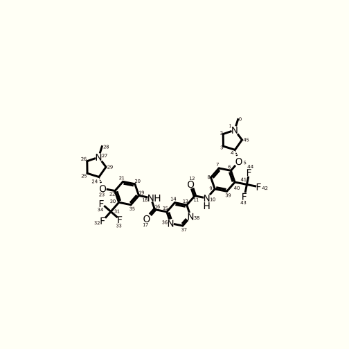 CN1CC[C@@H](Oc2ccc(NC(=O)c3cc(C(=O)Nc4ccc(O[C@@H]5CCN(C)C5)c(C(F)(F)F)c4)ncn3)cc2C(F)(F)F)C1